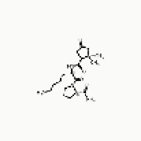 CC1(C)CC(=O)CC1C(=O)N[C@@H](CCCCN)C(=O)N1CCC[C@H]1C(N)=O